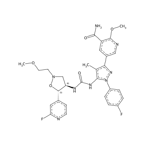 COCCN1C[C@@H](NC(=O)Nc2c(C)c(-c3cnc(OC)c(C(N)=O)c3)nn2-c2ccc(F)cc2)[C@H](c2ccnc(F)c2)O1